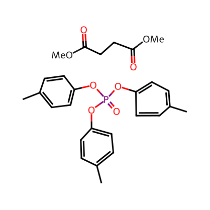 COC(=O)CCC(=O)OC.Cc1ccc(OP(=O)(Oc2ccc(C)cc2)Oc2ccc(C)cc2)cc1